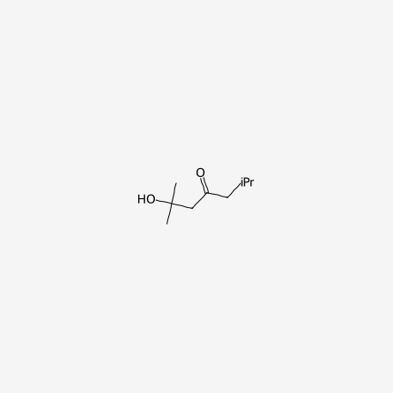 CC(C)CC(=O)CC(C)(C)O